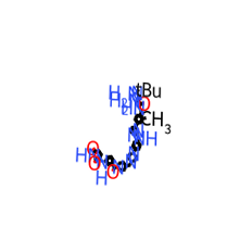 Cc1cc(-c2ccnc(Nc3ccc(N4CCN(CC5CCN(C(=O)c6cccc(NC7CCC(=O)NC7=O)c6)CC5)CC4)cc3)n2)ccc1CNC(=O)/C(N)=C/N(N)C(C)(C)C